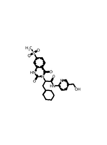 CS(=O)(=O)c1ccc2c(=O)n(C(CC3CCCCC3)C(=O)Nc3ccc(CO)cn3)c(=O)[nH]c2c1